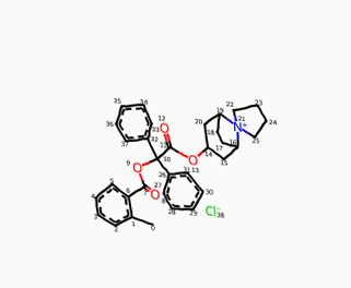 Cc1ccccc1C(=O)OC(C(=O)OC1CC2CCC(C1)[N+]21CCCC1)(c1ccccc1)c1ccccc1.[Cl-]